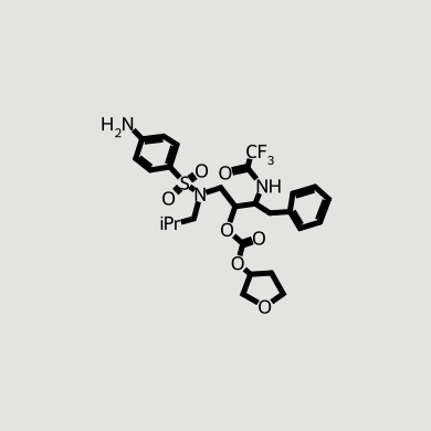 CC(C)CN(CC(OC(=O)OC1CCOC1)C(Cc1ccccc1)NC(=O)C(F)(F)F)S(=O)(=O)c1ccc(N)cc1